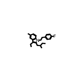 CCc1c(CC(C)CC)n(CCc2ccc(F)cc2)c2ccc(C)cc12